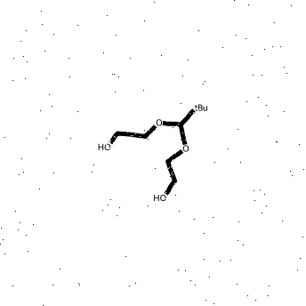 CC(C)(C)C(OCCO)OCCO